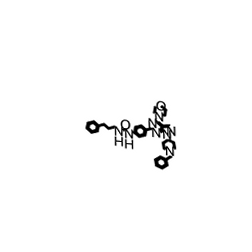 O=C(NCCCc1ccccc1)Nc1ccc(-c2nc(N3CCOCC3)c3cnn(C4CCN(Cc5ccccc5)CC4)c3n2)cc1